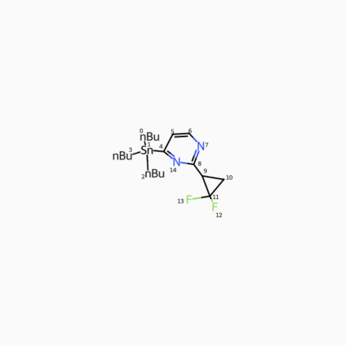 CCC[CH2][Sn]([CH2]CCC)([CH2]CCC)[c]1ccnc(C2CC2(F)F)n1